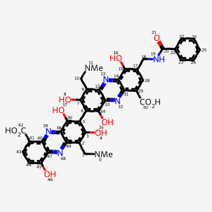 CNCc1c(O)c(-c2c(O)c(CNC)c3nc4c(O)c(CNC(=O)c5ccccc5)cc(C(=O)O)c4nc3c2O)c(O)c2nc3c(C(=O)O)ccc(O)c3nc12